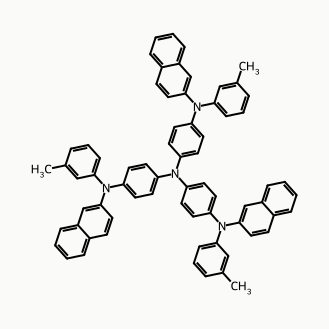 Cc1cccc(N(c2ccc(N(c3ccc(N(c4cccc(C)c4)c4ccc5ccccc5c4)cc3)c3ccc(N(c4cccc(C)c4)c4ccc5ccccc5c4)cc3)cc2)c2ccc3ccccc3c2)c1